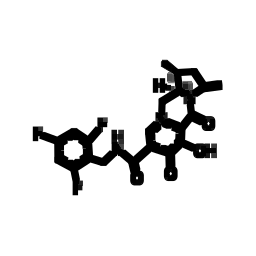 C=C1C[C@H](C)[C@@H]2Cn3cc(C(=O)NCc4c(F)cc(F)cc4F)c(=O)c(O)c3C(=O)N12